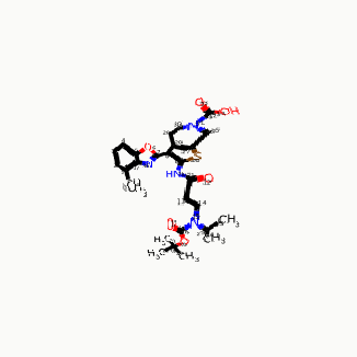 Cc1cccc2oc(-c3c(NC(=O)CCN(C(=O)OC(C)(C)C)C(C)C)sc4c3CCN(C(=O)O)C4)nc12